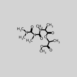 COC(=O)C(C)OC(=O)C(C)N(C)C(=O)N(C)C(=O)N(C)C